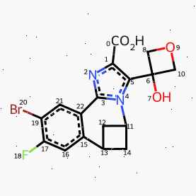 O=C(O)c1nc2n(c1C1(O)COC1)C1CC(C1)c1cc(F)c(Br)cc1-2